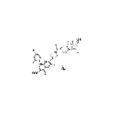 CC1C(CSC(=S)N2CCN(c3nc4c(cc3F)c(=O)c(C(=O)[O-])cn4-c3ccc(F)cc3F)CC2)=C(C(=O)[O-])N2C(=O)[C@@H]([C@@H](C)O)[C@@H]12.[Na+].[Na+]